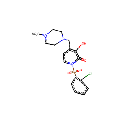 O=C(O)N1CCN(Cc2ccn(S(=O)(=O)c3ccccc3Cl)c(=O)c2O)CC1